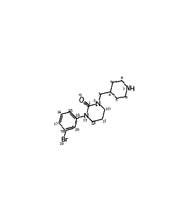 O=C1N(CC2CCNCC2)CCCN1c1cccc(Br)c1